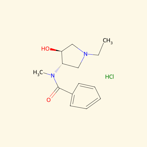 CCN1C[C@H](O)[C@@H](N(C)C(=O)c2ccccc2)C1.Cl